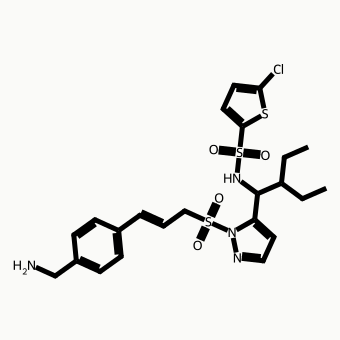 CCC(CC)C(NS(=O)(=O)c1ccc(Cl)s1)c1ccnn1S(=O)(=O)CC=Cc1ccc(CN)cc1